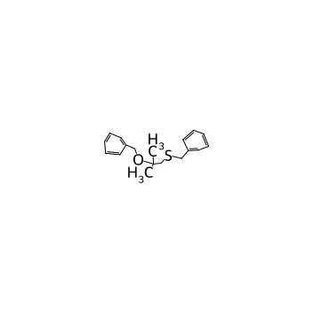 CC(C)(CSCc1ccccc1)OCc1ccccc1